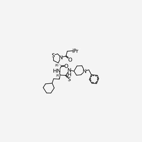 CC(C)CC(=O)N1CSC[C@H]1C(=O)N[C@H](CCC1CCCCC1)C(=S)NC1CCN(Cc2ccccc2)CC1